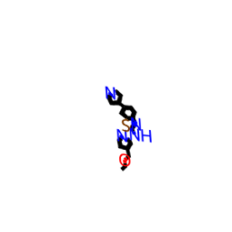 CCOCc1ccnc(Nc2nc3ccc(-c4ccncc4)cc3s2)c1